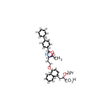 CCCOC(Cc1ccc(OCCc2nc(-c3ccc(-c4ccccc4)cc3)oc2C)c2ccccc12)C(=O)O